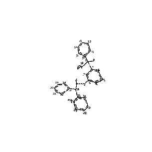 CC(Cc1cccc(C(C)(c2ccccc2)C(C)C)c1)C(c1ccccc1)c1ccccn1